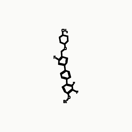 CCOc1ccc(-c2ccc(-c3ccc(COC4CCC(C)CC4)c(F)c3)cc2)c(F)c1F